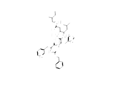 CCC(C)CNC(=O)CC(O)C(CC(C)C)NC(=O)[C@H](Cc1cscn1)NC(=O)[C@H](Cc1cccnc1)NC(=O)OCc1ccccc1